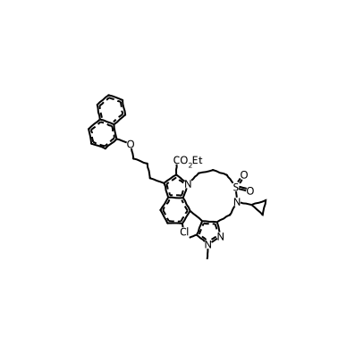 CCOC(=O)c1c(CCCOc2cccc3ccccc23)c2ccc(Cl)c3c2n1CCCS(=O)(=O)N(C1CC1)Cc1nn(C)c(C)c1-3